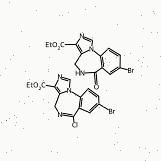 CCOC(=O)c1ncn2c1CN=C(Cl)c1cc(Br)ccc1-2.CCOC(=O)c1ncn2c1CNC(=O)c1cc(Br)ccc1-2